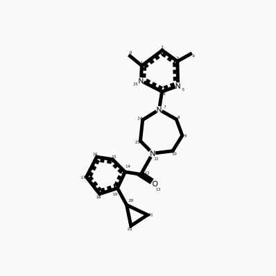 Cc1cc(C)nc(N2CCCN(C(=O)c3ccccc3C3CC3)CC2)n1